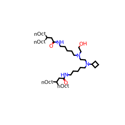 CCCCCCCCC(CCCCCCCC)CC(=O)NCCCCCN(CCO)CCN(CCCCCNC(=O)CC(CCCCCCCC)CCCCCCCC)C1CCC1